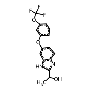 CC(O)c1nc2ccc(Oc3cccc(OC(F)(F)F)c3)cc2[nH]1